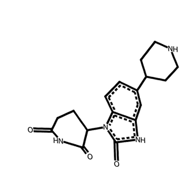 O=C1CCC(n2c(=O)[nH]c3cc(C4CCNCC4)ccc32)C(=O)N1